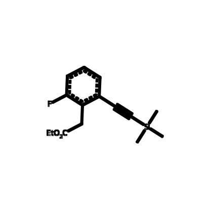 CCOC(=O)Cc1c(F)cccc1C#C[Si](C)(C)C